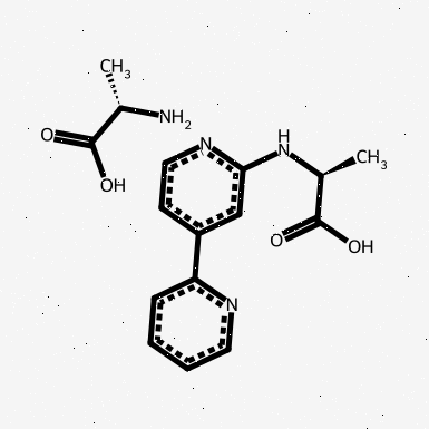 C[C@H](N)C(=O)O.C[C@H](Nc1cc(-c2ccccn2)ccn1)C(=O)O